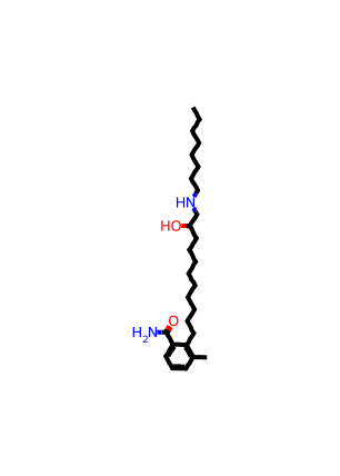 CCCCCCCCNCC(O)CCCCCCCCCc1c(C)cccc1C(N)=O